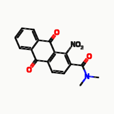 CN(C)C(=O)c1ccc2c(c1[N+](=O)[O-])C(=O)c1ccccc1C2=O